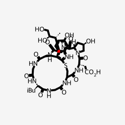 CC[C@H](C)[C@@H]1NC(=O)CNC(=O)C2Cc3c([nH]c4cc(O)ccc34)SCC(NC(=O)CNC1=O)C(=O)N[C@@H](CC(=O)O)C(=O)N1C[C@H](O)C[C@H]1C(=O)N[C@@H]([C@@H](C)[C@@H](O)CO)C(=O)N2